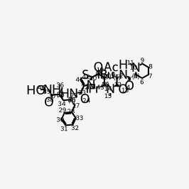 CC[C@H](C)[C@H](NC(=O)[C@H]1CCCCN1C)C(=O)N(C)[C@H](C[C@@H](OC(C)=O)c1nc(C(=O)N[C@@H](Cc2ccccc2)C[C@H](C)C(=O)NO)cs1)C(C)C